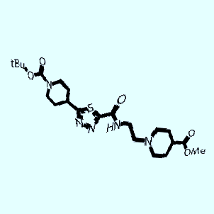 COC(=O)C1CCN(CCNC(=O)c2nnc(C3CCN(C(=O)OC(C)(C)C)CC3)s2)CC1